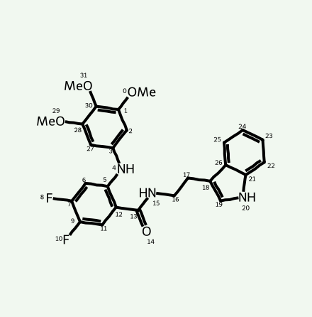 COc1cc(Nc2cc(F)c(F)cc2C(=O)NCCc2c[nH]c3ccccc23)cc(OC)c1OC